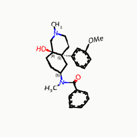 COc1cccc([C@@]23CCN(C)C[C@@]2(O)CC[C@H](N(C)C(=O)c2ccccc2)C3)c1